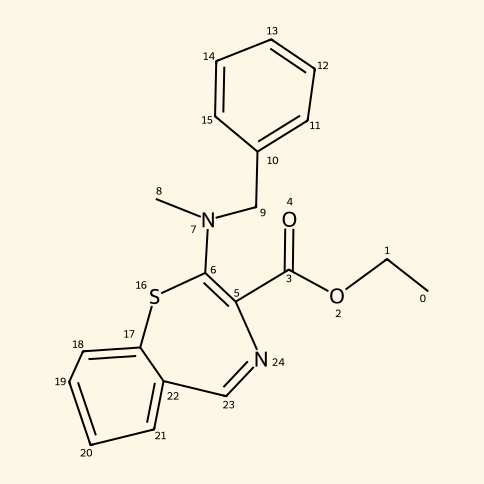 CCOC(=O)C1=C(N(C)Cc2ccccc2)Sc2ccccc2C=N1